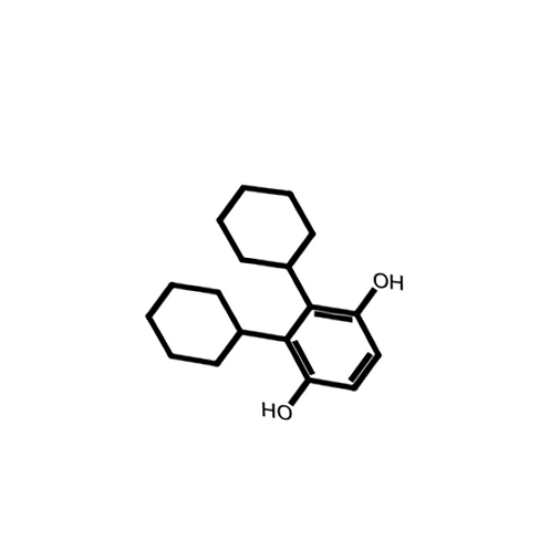 Oc1ccc(O)c(C2CCCCC2)c1C1CCCCC1